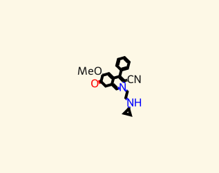 COC1C=C2C(=CN(CCNC3CC3)C(C#N)=C2c2ccccc2)CC1=O